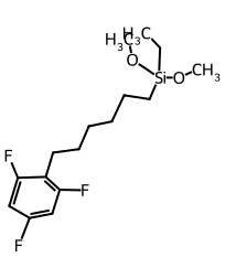 CC[Si](CCCCCCc1c(F)cc(F)cc1F)(OC)OC